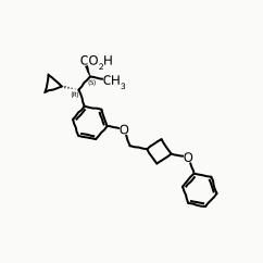 C[C@H](C(=O)O)[C@H](c1cccc(OCC2CC(Oc3ccccc3)C2)c1)C1CC1